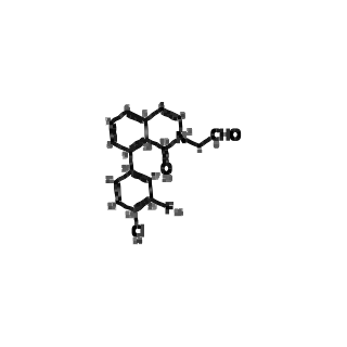 O=CCn1ccc2cccc(-c3ccc(Cl)c(F)c3)c2c1=O